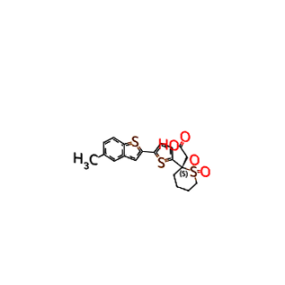 Cc1ccc2sc(-c3ccc([C@@]4(CC(=O)O)CCCCS4(=O)=O)s3)cc2c1